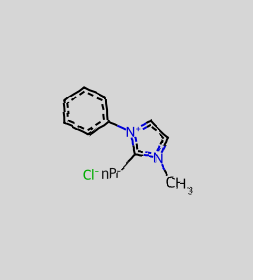 CCCc1n(C)cc[n+]1-c1ccccc1.[Cl-]